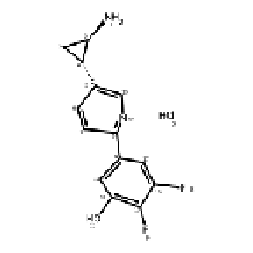 Cl.N[C@@H]1C[C@H]1c1ccc(-c2cc(O)c(F)c(F)c2)nc1